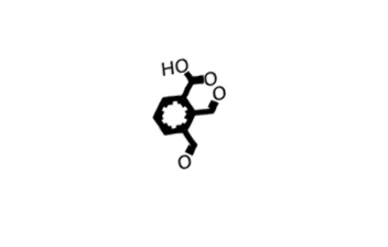 O=Cc1cccc(C(=O)O)c1C=O